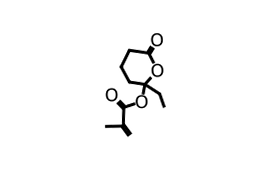 C=C(C)C(=O)OC1(CC)CCCC(=O)O1